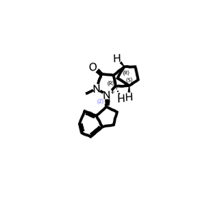 CN1C(=O)C2[C@@H]3CC[C@@H](C3)[C@H]2/[N+]1=C1\CCc2ccccc21